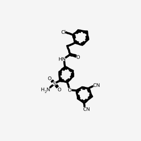 N#Cc1cc(C#N)cc(Oc2ccc(NC(=O)Cc3ccccc3Cl)cc2S(N)(=O)=O)c1